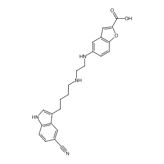 N#Cc1ccc2[nH]cc(CCCCNCCNc3ccc4oc(C(=O)O)cc4c3)c2c1